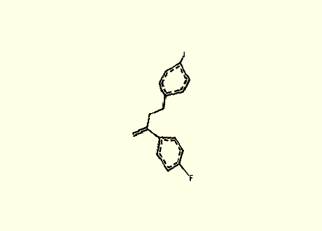 C=C(CCc1ccc(I)cc1)c1ccc(F)cc1